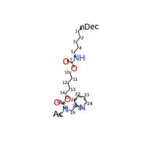 CCCCCCCCCCCCCCCNC(=O)OCCCCCOC(=O)N(Cc1ccccn1)C(C)=O